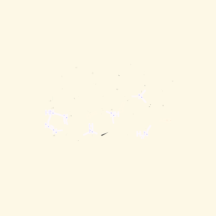 C[C@@H](CCC1(C(N)=O)Cc2cccc3c2N1C(=O)CCC3)[C@@H](CNCc1nn[nH]n1)NC(=O)Cc1cccc(F)c1F